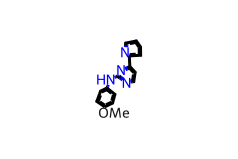 COc1ccc(Nc2nccc(-c3ccccn3)n2)cc1